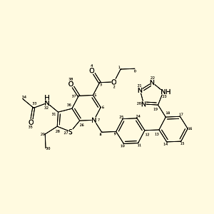 CCOC(=O)c1cn(Cc2ccc(-c3ccccc3-c3nnn[nH]3)cc2)c2sc(CC)c(NC(C)=O)c2c1=O